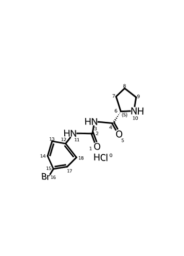 Cl.O=C(NC(=O)[C@@H]1CCCN1)Nc1ccc(Br)cc1